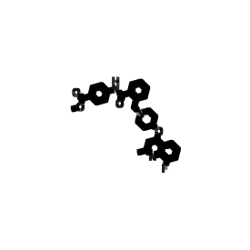 COC(=O)c1ccc(NC(=O)c2ccccc2CN2CCC(Oc3cc(C)nc4c(F)cccc34)CC2)cc1